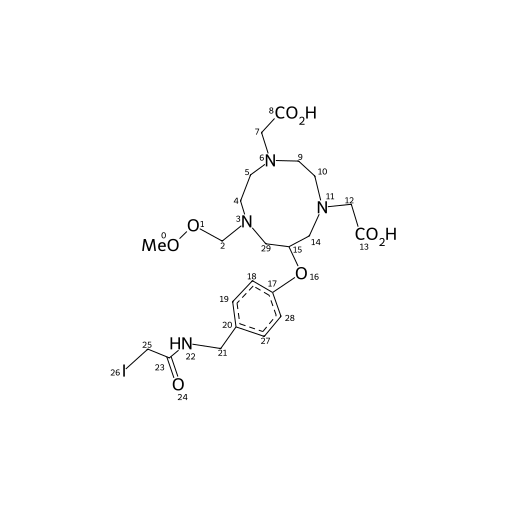 COOCN1CCN(CC(=O)O)CCN(CC(=O)O)CC(Oc2ccc(CNC(=O)CI)cc2)C1